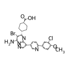 COc1ccc(-c2ccc(-c3cnn4c(N)c(Br)c([C@H]5CC[C@H](C(=O)O)CC5)nc34)cn2)cc1Cl